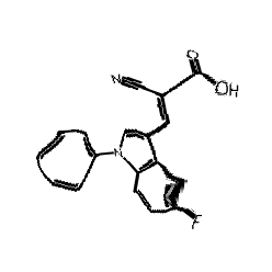 N#C/C(=C\c1cn(-c2ccccc2)c2ccc(F)cc12)C(=O)O